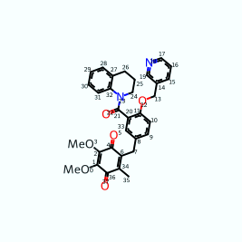 COC1=C(OC)C(=O)C(Cc2ccc(OCc3cccnc3)c(C(=O)N3CCCc4ccccc43)c2)=C(C)C1=O